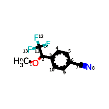 COC(c1ccc(C#N)cc1)C(F)(F)F